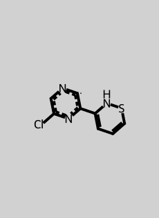 Clc1cn[c]c(C2=CC=CSN2)n1